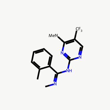 C/N=C(/Nc1ncc(C(F)(F)F)c(NC)n1)c1ccccc1C